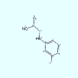 CCC(O)CNc1cccc(C)c1